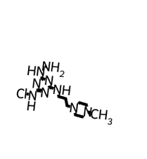 CN1CCN(CCCNc2nc(NN)nc(NCl)n2)CC1